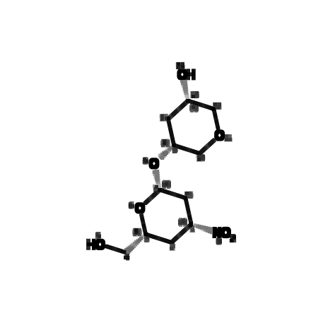 O=[N+]([O-])[C@@H]1C[C@H](CO)O[C@H](O[C@H]2COC[C@@H](O)C2)C1